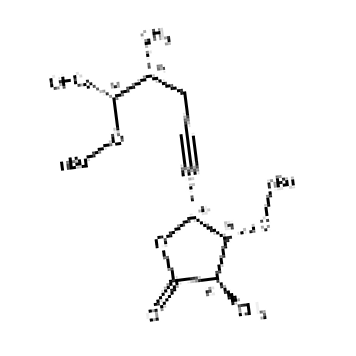 CCCCO[C@H]1[C@@H](C#CC[C@@H](C)[C@@H](C=O)OCCCC)OC(=O)[C@@H]1C